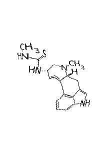 CNC(=S)N[C@H]1C=C2c3cccc4[nH]cc(c34)C[C@H]2N(C)C1